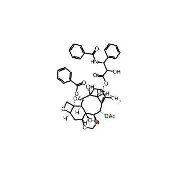 CC(=O)O[C@H]1C2=C(C)[C@@H](OC(=O)[C@H](O)[C@@H](NC(=O)c3ccccc3)c3ccccc3)C[C@@](O)([C@@H](OC(=O)c3ccccc3)[C@@H]3[C@]4(OC(C)=O)CO[C@@H]4C[C@@H]4OCO[C@@H]1[C@]43C)C2(C)C